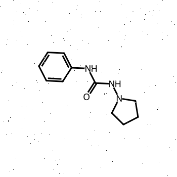 O=C(Nc1ccccc1)NN1CCCC1